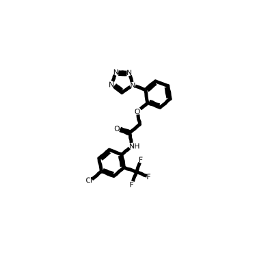 O=C(COc1ccccc1-n1cnnn1)Nc1ccc(Cl)cc1C(F)(F)F